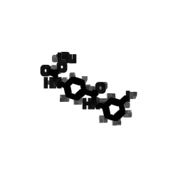 CC(C)(C)OC(=O)Nc1ccc(C(=O)Nc2cccc(I)c2)cc1